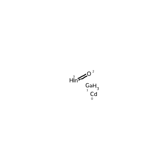 [Cd].[GaH3].[O]=[InH]